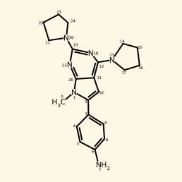 Cn1c(-c2ccc(N)cc2)cc2c(N3CCCC3)nc(N3CCCC3)nc21